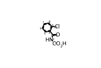 O=C(O)NC(=O)c1ccccc1Cl